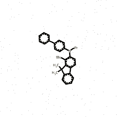 CC(C)N(c1ccc(-c2ccccc2)cc1)c1ccc2c(c1C(C)(C)C)C(C)(C)c1ccccc1-2